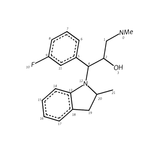 CNCC(O)C(c1cccc(F)c1)N1c2ccccc2CC1C